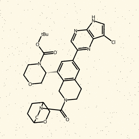 CC(C)(C)OC(=O)N1CCOC[C@H]1c1cc(-c2cnc3[nH]cc(Cl)c3n2)cc2c1CN(C(=O)N1CC3CCC1CO3)CC2